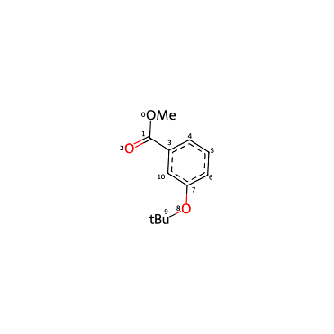 COC(=O)c1cccc(OC(C)(C)C)c1